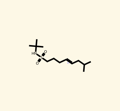 CC(C)C/C=C/CCCS(=O)(=O)NC(C)(C)C